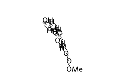 COCCOCCOCc1cn(CC(=O)[C@H]2CC[C@H]3[C@@H]4CC[C@@H]5C[C@](C)(O)CC[C@@H]5[C@H]4CC[C@]23C)nn1